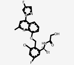 CC[C@H](NC(=O)CO)c1cc(F)cc(Cl)c1COc1cccc2c(-n3cc(F)cn3)cc(C)nc12